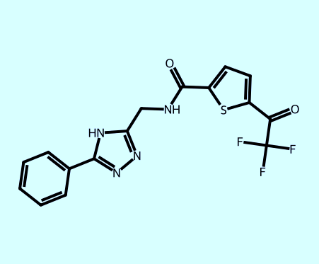 O=C(NCc1nnc(-c2ccccc2)[nH]1)c1ccc(C(=O)C(F)(F)F)s1